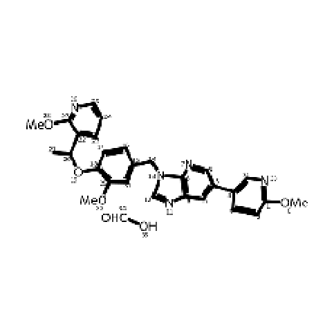 COc1ccc(-c2cnc3c(c2)ncn3Cc2ccc(OC(C)c3cccnc3OC)c(OC)c2)cn1.O=CO